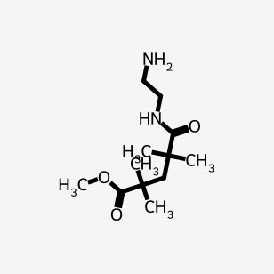 COC(=O)C(C)(C)CC(C)(C)C(=O)NCCN